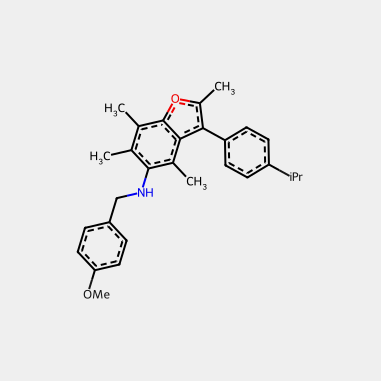 COc1ccc(CNc2c(C)c(C)c3oc(C)c(-c4ccc(C(C)C)cc4)c3c2C)cc1